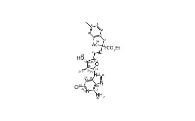 CCOC(=O)C(Cc1ccc(C)cc1)(OC[C@H]1O[C@@H](n2cnc3c(N)nc(Cl)nc32)[C@@H](F)[C@@H]1O)C(C)=O